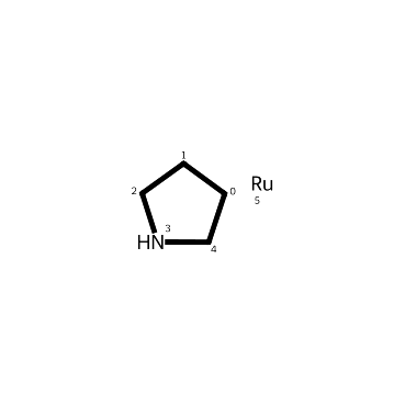 C1CCNC1.[Ru]